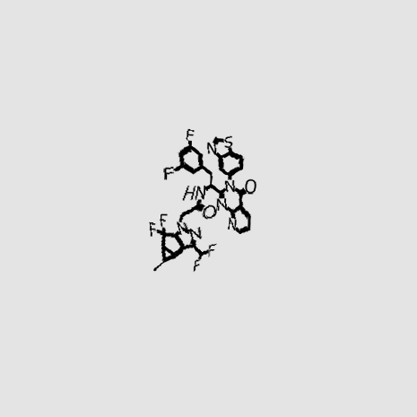 C[C@@H]1C2c3c(C(F)F)nn(CC(=O)N[C@@H](Cc4cc(F)cc(F)c4)c4nc5ncccc5c(=O)n4-c4ccc5scnc5c4)c3C(F)(F)C21